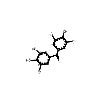 O=C(c1cc(O)c(O)c(O)c1)c1cc(O)c(O)c(Br)c1